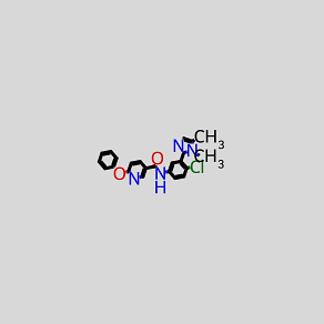 Cc1cnc(-c2cc(NC(=O)c3ccc(Oc4ccccc4)nc3)ccc2Cl)n1C